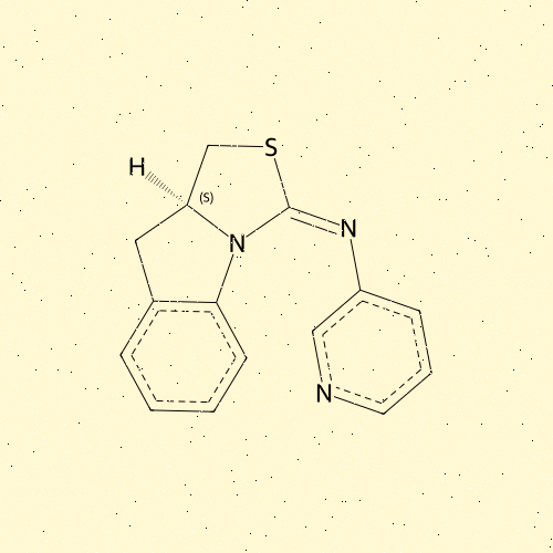 c1cncc(N=C2SC[C@@H]3Cc4ccccc4N23)c1